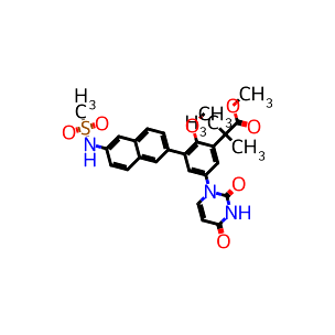 COC(=O)C(C)(C)c1cc(-n2ccc(=O)[nH]c2=O)cc(-c2ccc3cc(NS(C)(=O)=O)ccc3c2)c1OC